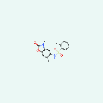 Cc1cc2oc(=O)n(C)c2cc1NS(=O)(=O)c1ccccc1C